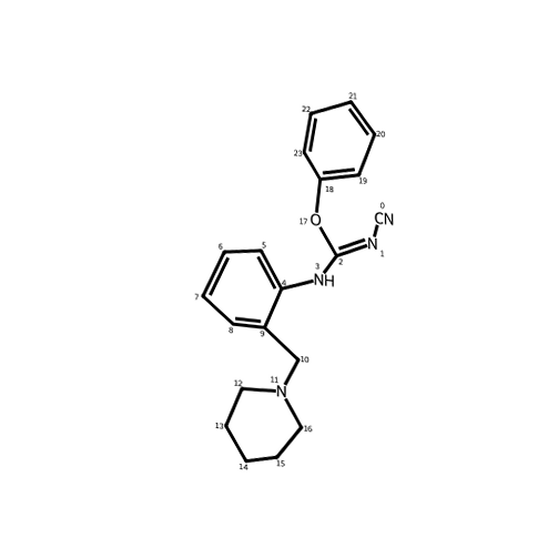 N#C/N=C(/Nc1ccccc1CN1CCCCC1)Oc1ccccc1